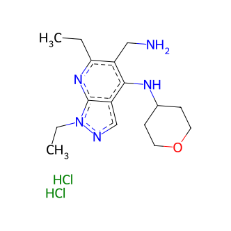 CCc1nc2c(cnn2CC)c(NC2CCOCC2)c1CN.Cl.Cl